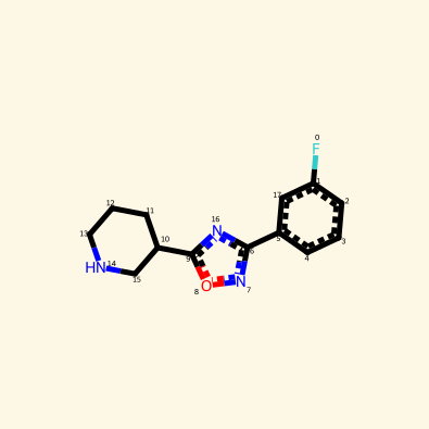 Fc1cccc(-c2noc(C3CCCNC3)n2)c1